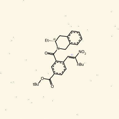 CCCC/C(=C\c1ccc(C(=O)OC(C)(C)C)cc1C(=O)N1Cc2ccccc2C[C@H]1CC)[N+](=O)[O-]